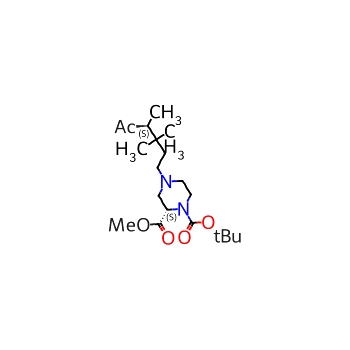 COC(=O)[C@@H]1CN(CCC(C)(C)[C@H](C)C(C)=O)CCN1C(=O)OC(C)(C)C